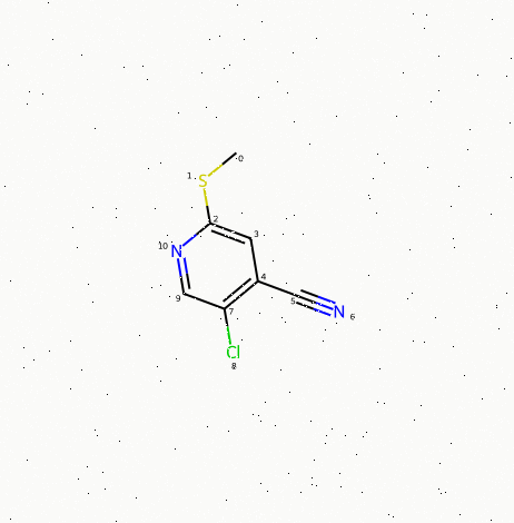 CSc1cc(C#N)c(Cl)cn1